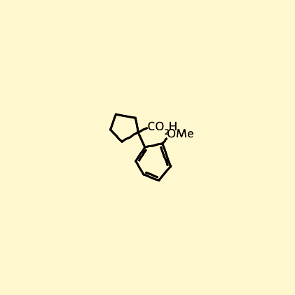 COc1ccccc1C1(C(=O)O)CCCC1